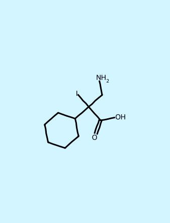 NCC(I)(C(=O)O)C1CCCCC1